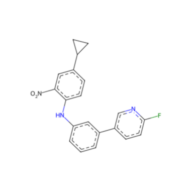 O=[N+]([O-])c1cc(C2CC2)ccc1Nc1cccc(-c2ccc(F)nc2)c1